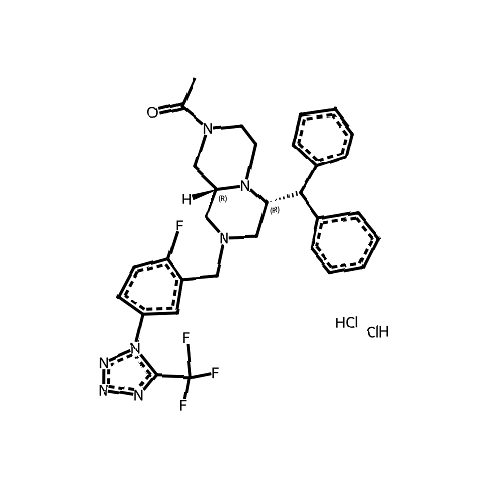 CC(=O)N1CCN2[C@H](CN(Cc3cc(-n4nnnc4C(F)(F)F)ccc3F)C[C@H]2C(c2ccccc2)c2ccccc2)C1.Cl.Cl